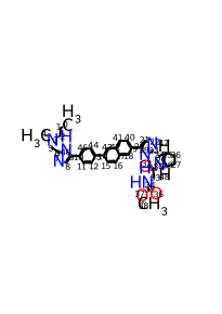 CCCN(C)Cc1ncc(-c2ccc(-c3ccc4cc(-c5cnc([C@@H]6[C@H]7CC[C@H](C7)N6C(=O)CNC(=O)OC)[nH]5)ccc4c3)cc2)[nH]1